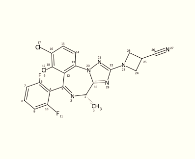 C[C@@H]1N=C(c2c(F)cccc2F)c2c(ccc(Cl)c2Cl)-n2nc(N3CC(C#N)C3)nc21